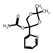 CC1(C)OCC(OC(N)=O)(c2ccccn2)CO1